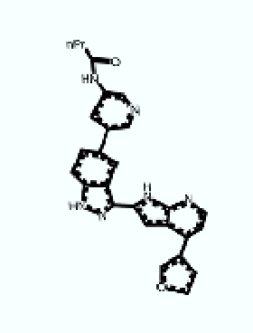 CCCC(=O)Nc1cncc(-c2ccc3[nH]nc(-c4cc5c(-c6ccoc6)ccnc5[nH]4)c3c2)c1